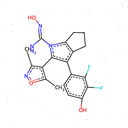 Cc1noc(C)c1-c1c(-c2ccc(O)c(F)c2F)c2c(n1/C(N)=N/O)CCC2